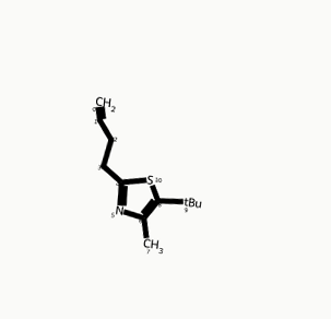 C=CCCc1nc(C)c(C(C)(C)C)s1